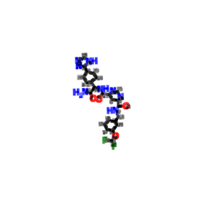 NC(=O)[C@H](NC(=O)c1cc(C(=O)NCc2cccc(OC(F)F)c2)ncn1)c1ccc(-c2nnc[nH]2)cc1